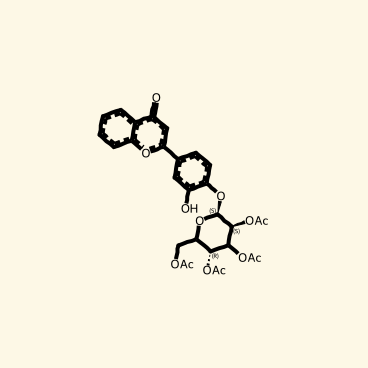 CC(=O)OCC1O[C@@H](Oc2ccc(-c3cc(=O)c4ccccc4o3)cc2O)[C@@H](OC(C)=O)C(OC(C)=O)[C@@H]1OC(C)=O